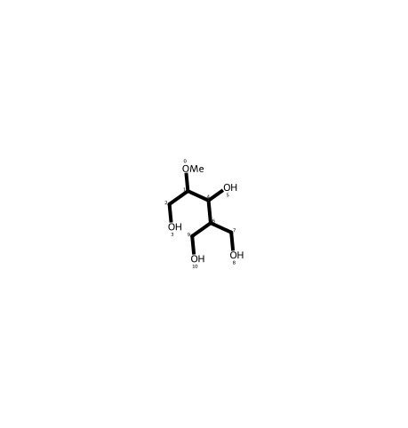 COC(CO)C(O)C(CO)CO